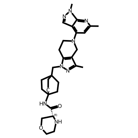 Cc1cc(N2CCc3c(c(C)nn3CC34CCC(NC(=O)[C@H]5COCCN5)(CC3)CC4)C2)c2cnn(C)c2n1